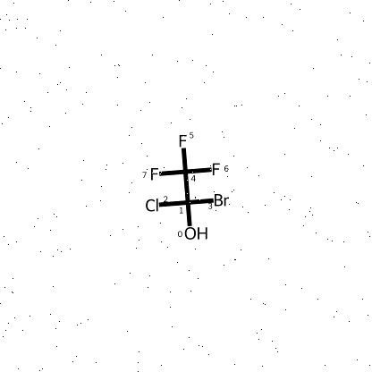 OC(Cl)(Br)C(F)(F)F